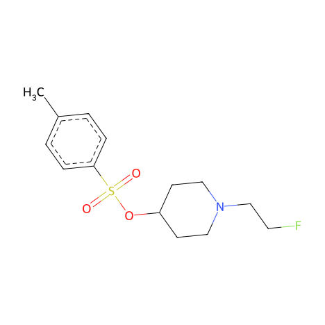 Cc1ccc(S(=O)(=O)OC2CCN(CCF)CC2)cc1